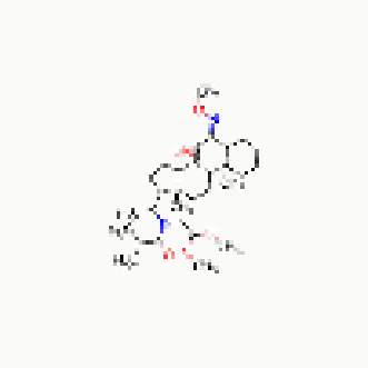 CO/N=C1\C=C2C(CC[C@]3(C)C(C(C)N(CC(OC)OC)C(=O)C(C)C)CC[C@@]23O)C2(C)CCCCC12